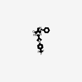 O=c1[nH]c(C2CN(c3ccc(C(F)(F)F)cc3)C2)nc2c1cnn2C1CCCCC1